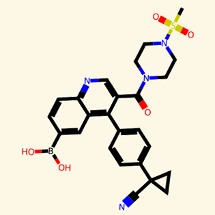 CS(=O)(=O)N1CCN(C(=O)c2cnc3ccc(B(O)O)cc3c2-c2ccc(C3(C#N)CC3)cc2)CC1